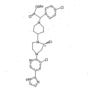 CC[C@H]1CN(c2ncc(-c3ncc[nH]3)cc2Cl)CCN1C1CCN(C(C(=O)OC)c2ccc(Cl)cc2)CC1